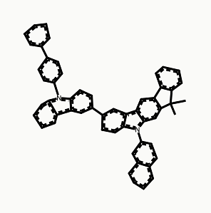 CC1(C)c2ccccc2-c2cc3c4cc(-c5ccc6c(c5)c5ccccc5n6-c5ccc(-c6ccccc6)cc5)ccc4n(-c4ccc5ccccc5c4)c3cc21